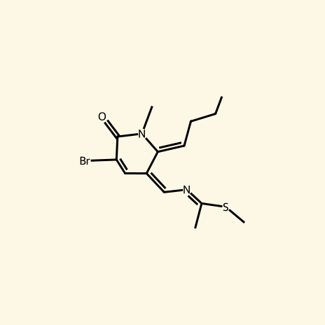 CCC/C=c1/c(=C\N=C(/C)SC)cc(Br)c(=O)n1C